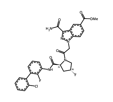 COC(=O)c1ccc2c(c1)c(C(N)=O)nn2CC(=O)N1C[C@H](F)C[C@H]1C(=O)Nc1cccc(-c2ccccc2Cl)c1F